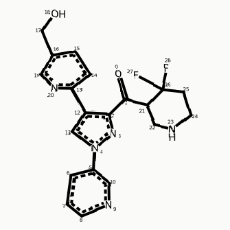 O=C(c1nn(-c2cccnc2)cc1-c1ccc(CO)cn1)C1CNCCC1(F)F